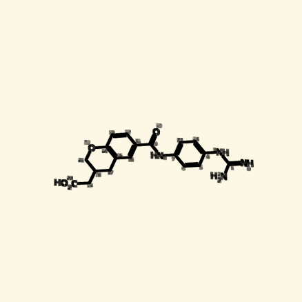 N=C(N)Nc1ccc(NC(=O)c2ccc3c(c2)CC(CC(=O)O)CO3)cc1